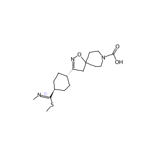 C/N=C(\SC)[C@H]1CC[C@H](C2=NOC3(CCN(C(=O)O)CC3)C2)CC1